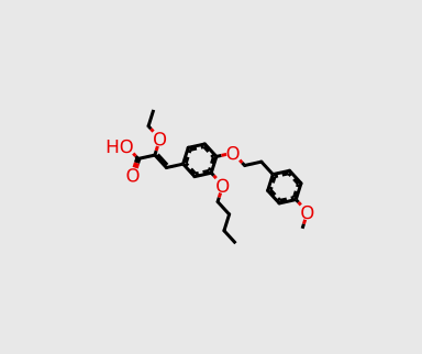 CCCCOc1cc(C=C(OCC)C(=O)O)ccc1OCCc1ccc(OC)cc1